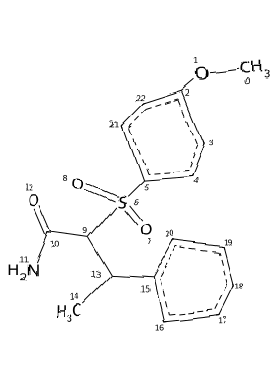 COc1ccc(S(=O)(=O)C(C(N)=O)C(C)c2ccccc2)cc1